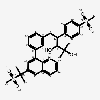 CC(C)(O)C(O)C(Cc1cccc(-c2cc(C(C)(C)S(C)(=O)=O)cc3cccnc23)c1)c1ccc(S(C)(=O)=O)cc1